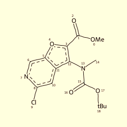 COC(=O)c1oc2cnc(Cl)cc2c1N(C)C(=O)OC(C)(C)C